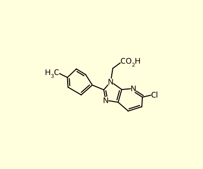 Cc1ccc(-c2nc3ccc(Cl)nc3n2CC(=O)O)cc1